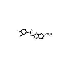 Cc1ccc(C(=O)Nc2nc3ccc(C(=O)O)cc3s2)cc1F